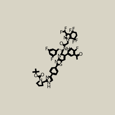 CC(=O)c1cc(-c2cc3sc(-c4ccc(-c5c[nH]c(C6CCCN6C(=O)OC(C)(C)C)n5)cc4)nc3nc2[C@H](Cc2cc(F)cc(F)c2)NC(=O)Cn2nc(C(F)F)c3c2C(F)(F)CCC3(F)F)ccc1F